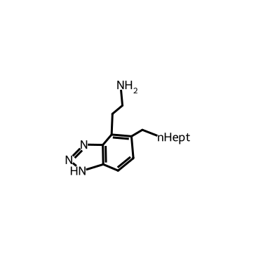 CCCCCCCCc1ccc2[nH]nnc2c1CCN